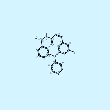 Cc1cccc(/C=C\C(=O)N[C@@H](C)c2cccc(Oc3ccncc3)c2)c1